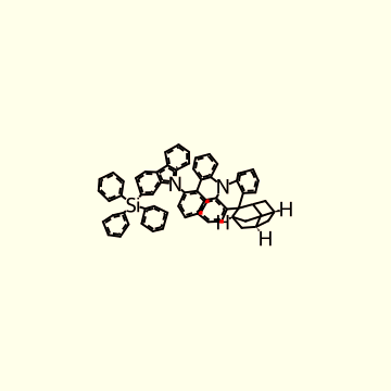 c1ccc([Si](c2ccccc2)(c2ccccc2)c2ccc3c4ccccc4n(-c4ccccc4-c4ccccc4N4c5ccccc5C5(c6ccccc64)C4C[C@H]6C[C@@H](C4)C[C@@H]5C6)c3c2)cc1